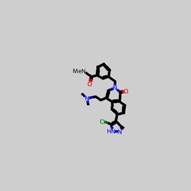 CNC(=O)c1cccc(Cn2cc(CCN(C)C)c3cc(-c4cn[nH]c4Cl)ccc3c2=O)c1